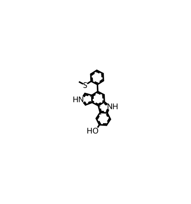 CSc1ccccc1-c1cc2[nH]c3ccc(O)cc3c2c2c[nH]cc12